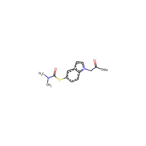 COC(=O)Cn1ccc2cc(SC(=O)N(C)C)ccc21